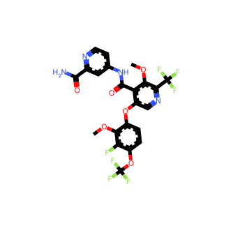 COc1c(Oc2cnc(C(F)(F)F)c(OC)c2C(=O)Nc2ccnc(C(N)=O)c2)ccc(OC(F)(F)F)c1F